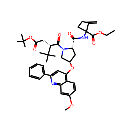 C=C1CCC1(NC(=O)[C@@H]1C[C@@H](Oc2cc(-c3ccccc3)nc3cc(OC)ccc23)CN1C(=O)[C@@H](CC(=O)OC(C)(C)C)C(C)(C)C)C(=O)OCC